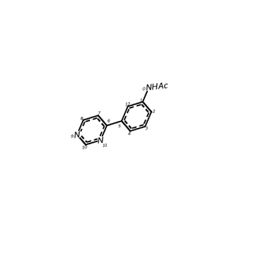 CC(=O)Nc1cccc(-c2ccncn2)c1